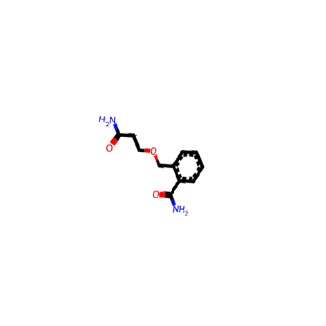 NC(=O)[CH]COCc1ccccc1C(N)=O